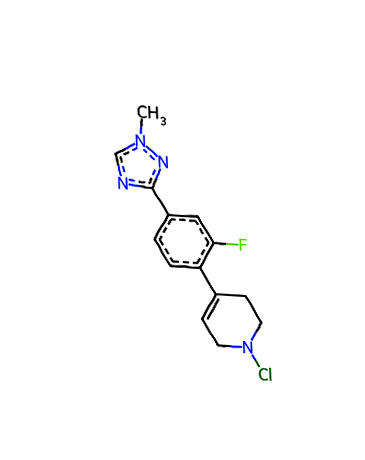 Cn1cnc(-c2ccc(C3=CCN(Cl)CC3)c(F)c2)n1